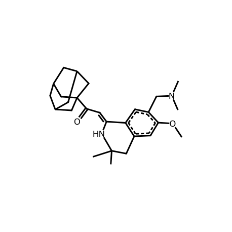 COc1cc2c(cc1CN(C)C)/C(=C/C(=O)C13CC4CC(CC(C4)C1)C3)NC(C)(C)C2